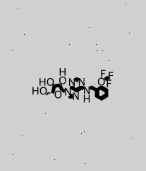 OC[C@H]1OC(n2cnc3c(NCc4ccccc4OC(F)(F)F)ncnc32)[C@H](O)[C@@H]1O